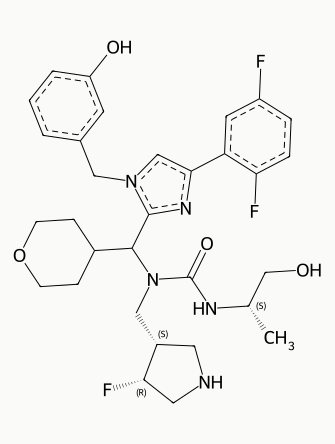 C[C@@H](CO)NC(=O)N(C[C@@H]1CNC[C@@H]1F)C(c1nc(-c2cc(F)ccc2F)cn1Cc1cccc(O)c1)C1CCOCC1